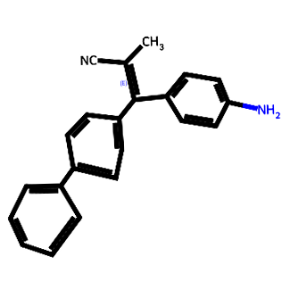 C/C(C#N)=C(\c1ccc(N)cc1)c1ccc(-c2ccccc2)cc1